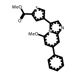 COC(=O)c1cc(-c2cnc3cc(-c4ccccc4)cc(OC)n23)cs1